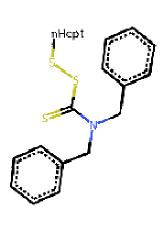 CCCCCCCSSC(=S)N(Cc1ccccc1)Cc1ccccc1